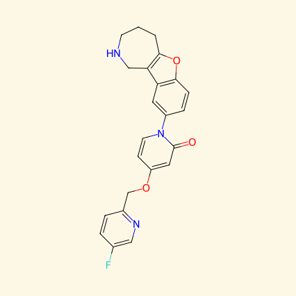 O=c1cc(OCc2ccc(F)cn2)ccn1-c1ccc2oc3c(c2c1)CNCCC3